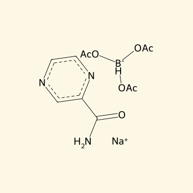 CC(=O)O[BH-](OC(C)=O)OC(C)=O.NC(=O)c1cnccn1.[Na+]